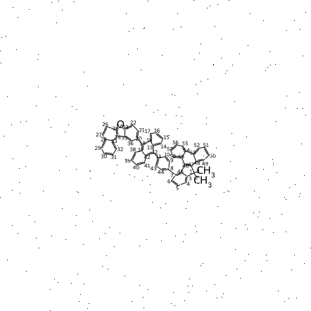 CC1(C)c2cccc(-c3ccc(-c4c5ccccc5c(-c5ccc6oc7ccc8ccccc8c7c6c5)c5ccccc45)cc3)c2-c2c1c1ccccc1c1ccccc21